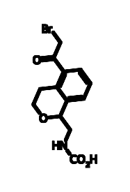 O=C(O)NCC1OCCc2c(C(=O)CBr)cccc21